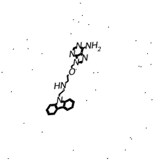 Nc1ncnc2c1ncn2COCCNCCn1c2ccccc2c2ccccc21